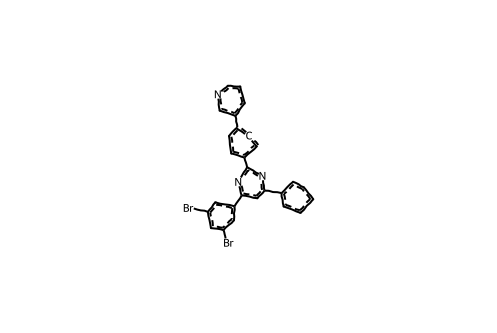 Brc1cc(Br)cc(-c2cc(-c3ccccc3)nc(-c3ccc(-c4cccnc4)cc3)n2)c1